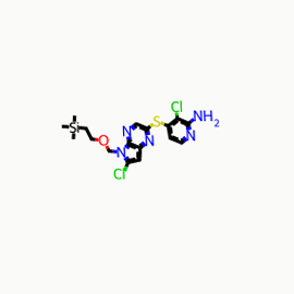 C[Si](C)(C)CCOCn1c(Cl)cc2nc(Sc3ccnc(N)c3Cl)cnc21